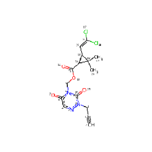 C#CCn1ncc(=O)n(COC(=O)C2C(C=C(Cl)Cl)C2(C)C)c1=O